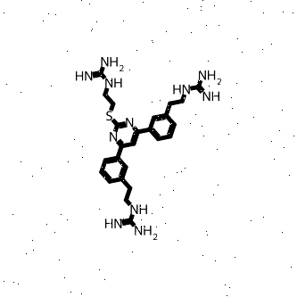 N=C(N)NCCSc1nc(-c2cccc(CCNC(=N)N)c2)cc(-c2cccc(CCNC(=N)N)c2)n1